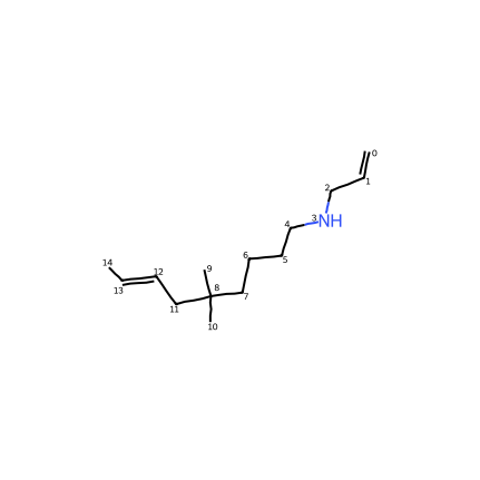 C=CCNCCCCC(C)(C)CC=CC